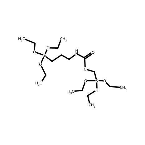 CCO[Si](CCCNC(=O)OC[Si](OCC)(OCC)OCC)(OCC)OCC